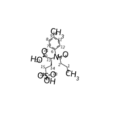 CCCC(=O)N(c1ccc(C)cc1)[C@@H](CCS(=O)(=O)O)C(=O)O